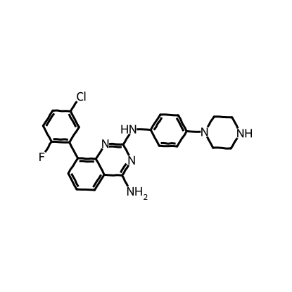 Nc1nc(Nc2ccc(N3CCNCC3)cc2)nc2c(-c3cc(Cl)ccc3F)cccc12